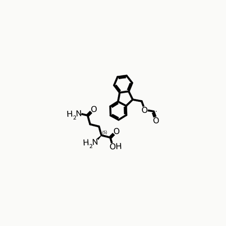 NC(=O)CC[C@H](N)C(=O)O.O=[C]OCC1c2ccccc2-c2ccccc21